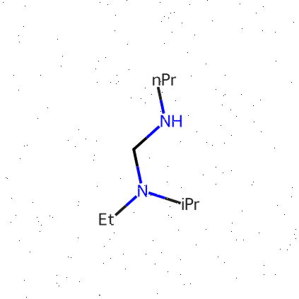 CCCNCN(CC)C(C)C